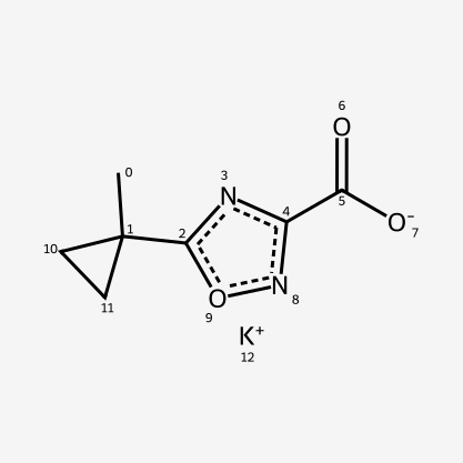 CC1(c2nc(C(=O)[O-])no2)CC1.[K+]